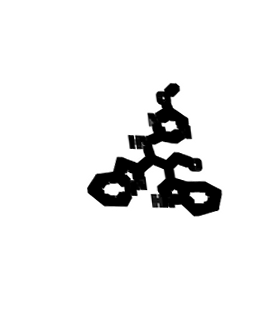 COc1cncc(NC(c2cc3ccccn3n2)C(C=O)c2c[nH]c3ccccc23)n1